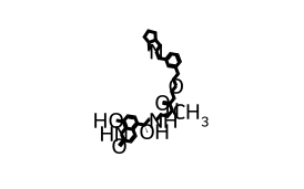 CN(CCNC[C@H](O)c1ccc(O)c2[nH]c(=O)ccc12)C(=O)CCOCCc1cccc(CN2CC3CCCC3C2)c1